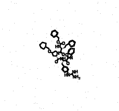 N=C(N)Nc1ccc(C[C@H](NC(=O)[C@@H]2C[C@@H](OCC3CCCCC3)CN2C(=O)[C@@H](CCc2ccccc2)NC(=O)OCc2ccccc2)C(=O)c2nc3ccccc3o2)cc1